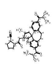 C[C@H](CC1(C(=N)N)c2ccc(C(=O)N(C)C)cc2CCc2cc(C(=O)N(C)C)ccc21)NCC(=O)N1CCC[C@H]1C#N